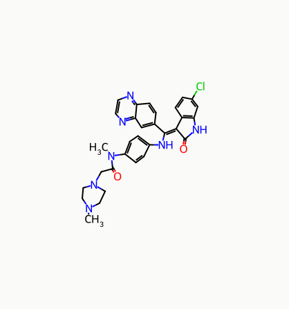 CN1CCN(CC(=O)N(C)c2ccc(N/C(=C3\C(=O)Nc4cc(Cl)ccc43)c3ccc4nccnc4c3)cc2)CC1